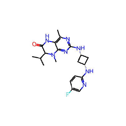 Cc1nc(N[C@H]2C[C@@H](Nc3ccc(F)cn3)C2)nc2c1NC(=O)C(C(C)C)N2C